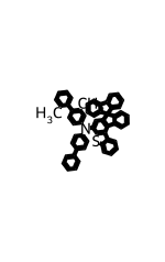 Cc1ccccc1-c1ccc(N(c2ccc(-c3ccccc3)cc2)c2cc3c(c4c2sc2ccccc24)-c2ccccc2C32c3ccccc3-c3ccccc32)cc1C